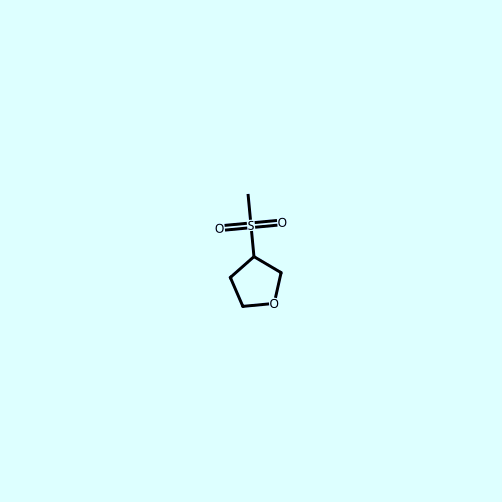 CS(=O)(=O)C1CCOC1